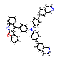 c1ccc2c(-c3ccc(N(c4ccc(-c5ccc6ccncc6c5)cc4)c4ccc(-c5ccc6ccncc6c5)cc4)cc3)c3c(nc2c1)oc1ccccc13